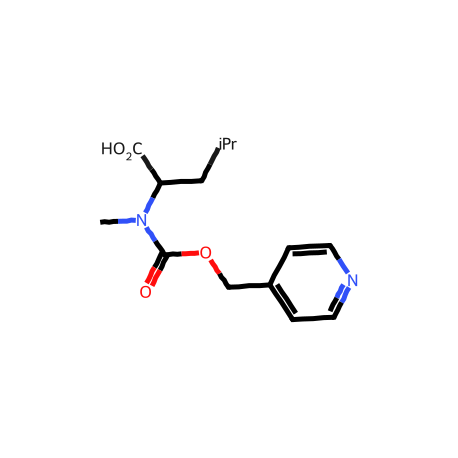 CC(C)CC(C(=O)O)N(C)C(=O)OCc1ccncc1